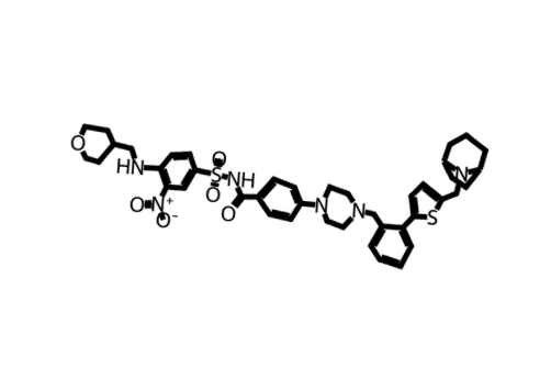 O=C(NS(=O)(=O)c1ccc(NCC2CCOCC2)c([N+](=O)[O-])c1)c1ccc(N2CCN(Cc3ccccc3-c3ccc(CN4C5CCCC4CC5)s3)CC2)cc1